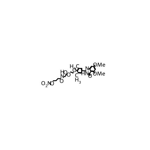 COc1cc(OC)c2c(=O)[nH]c(-c3cc(C)c(OCCOC(=O)CNC(=O)CCCO[N+](=O)[O-])c(C)c3)nc2c1